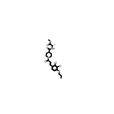 CCCSc1ccc(/C=C/C(=O)N2CCC(C(=O)N[C@@H](C)C(=O)OC)CC2)c(Cl)c1Cl